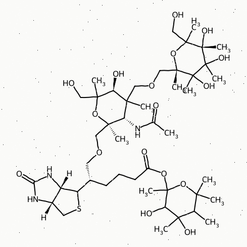 CC(=O)N[C@H]1C(C)(COC[C@]2(C)OC(C)(CO)[C@](C)(O)C(C)(O)C2(C)O)[C@H](O)C(C)(CO)O[C@]1(C)COC[C@H](CCCC(=O)OC1(C)OC(C)(C)C(C)C(C)(O)C1O)C1SC[C@@H]2NC(=O)N[C@H]12